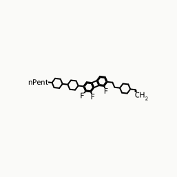 C=CC1CCC(CCc2ccc3c(c2F)-c2c-3cc(C3CCC(C4CCC(CCCCC)CC4)CC3)c(F)c2F)CC1